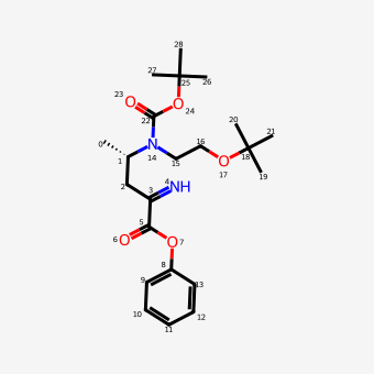 C[C@@H](CC(=N)C(=O)Oc1ccccc1)N(CCOC(C)(C)C)C(=O)OC(C)(C)C